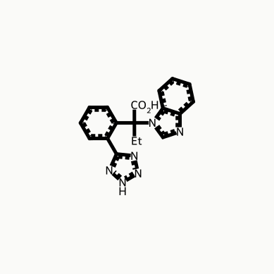 CCC(C(=O)O)(c1ccccc1-c1nn[nH]n1)n1cnc2ccccc21